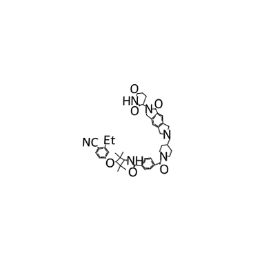 CCc1cc(O[C@H]2C(C)(C)[C@H](NC(=O)c3ccc(C(=O)N4CCC(CN5Cc6cc7c(cc6C5)C(=O)N(C5CCC(=O)NC5=O)C7)CC4)cc3)C2(C)C)ccc1C#N